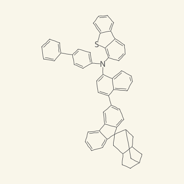 c1ccc(-c2ccc(N(c3ccc(-c4ccc5c(c4)-c4ccccc4C54CC5CCC6CC5CC4C6)c4ccccc34)c3cccc4c3sc3ccccc34)cc2)cc1